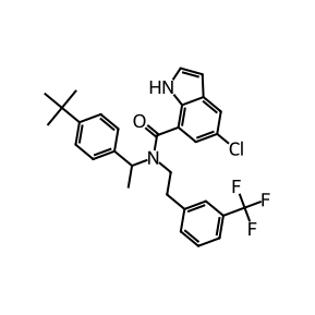 CC(c1ccc(C(C)(C)C)cc1)N(CCc1cccc(C(F)(F)F)c1)C(=O)c1cc(Cl)cc2cc[nH]c12